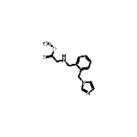 CC(C)(C)OC(=O)CNCc1ccccc1Cn1ccnc1